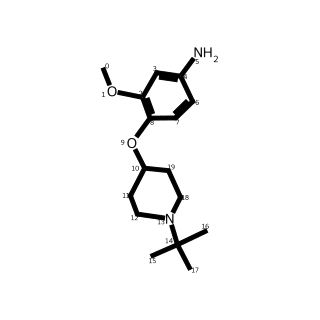 COc1cc(N)ccc1OC1CCN(C(C)(C)C)CC1